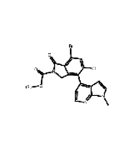 Cn1ccc2c(-c3c(Cl)cc(Br)c4c3CN(C(=O)OC(C)(C)C)C4=O)ccnc21